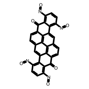 O=Nc1ccc(N=O)c2c1c(=O)c1ccc3cc4c5c(N=O)ccc(N=O)c5c(=O)c5ccc6cc2c1c3c6c54